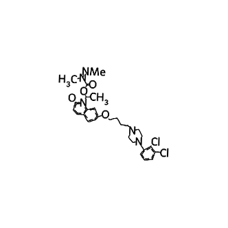 CNN(C)C(=O)OC(C)n1c(=O)ccc2ccc(OCCCCN3CCN(c4cccc(Cl)c4Cl)CC3)cc21